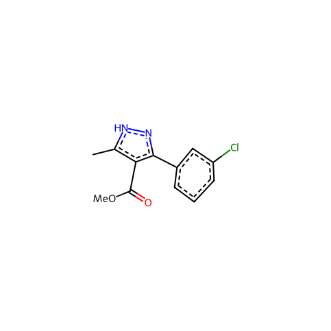 COC(=O)c1c(-c2cccc(Cl)c2)n[nH]c1C